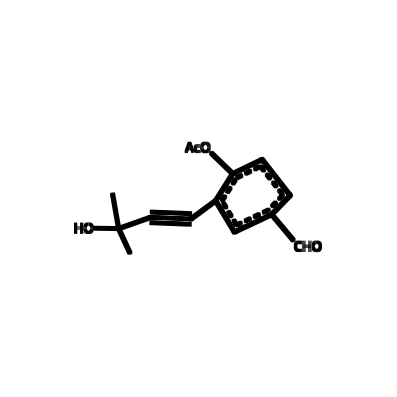 CC(=O)Oc1ccc(C=O)cc1C#CC(C)(C)O